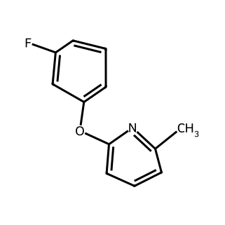 Cc1cccc(Oc2cccc(F)c2)n1